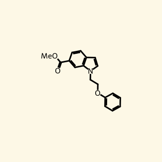 COC(=O)c1ccc2ccn(CCOc3ccccc3)c2c1